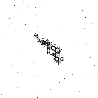 CC(=O)CCSc1nn(CC(=O)Nc2cc3c(Nc4ccc(F)c(Cl)c4)ncnc3cc2O)c(=S)s1